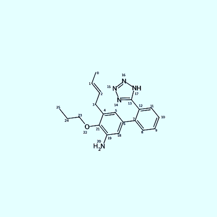 C/C=C/Cc1cc(-c2ccccc2-c2nnn[nH]2)cc(N)c1OCCC